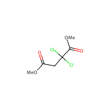 COC(=O)CC(Cl)(Cl)C(=O)OC